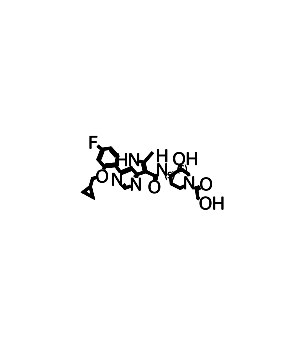 Cc1[nH]c2c(-c3ccc(F)cc3OCC3CC3)ncnc2c1C(=O)N[C@H]1CCN(C(=O)CO)C[C@@H]1O